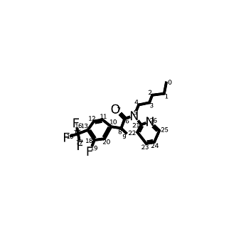 CCCCCN(C(=O)C(C)c1ccc(C(F)(F)F)c(F)c1)c1ccccn1